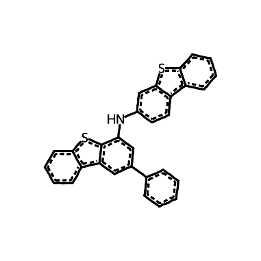 c1ccc(-c2cc(Nc3ccc4c(c3)sc3ccccc34)c3sc4ccccc4c3c2)cc1